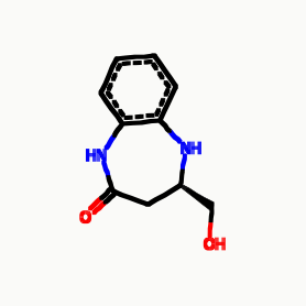 O=C1C[C@H](CO)Nc2ccccc2N1